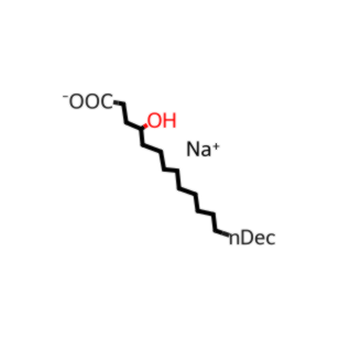 CCCCCCCCCCCCCCCCCCCC(O)CCC(=O)[O-].[Na+]